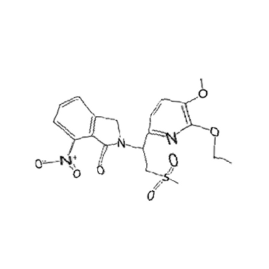 CCOc1nc(C(CS(C)(=O)=O)N2Cc3cccc([N+](=O)[O-])c3C2=O)ccc1OC